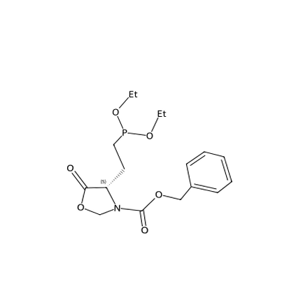 CCOP(CC[C@H]1C(=O)OCN1C(=O)OCc1ccccc1)OCC